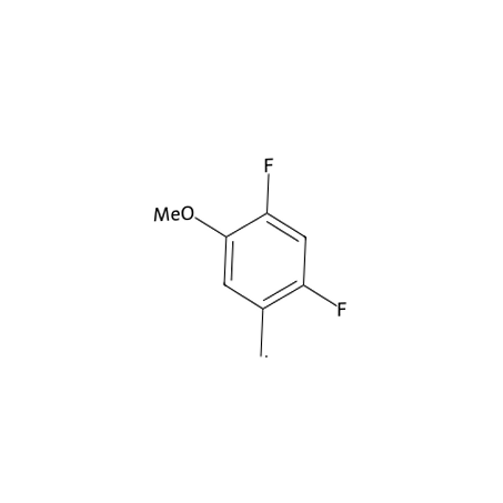 [CH2]c1cc(OC)c(F)cc1F